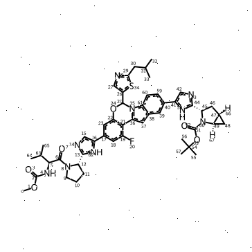 COC(=O)N[C@H](C(=O)N1CCC[C@H]1c1ncc(-c2cc(F)c3c(c2)OC(c2cnc(CC(C)C)s2)n2c-3cc3cc(-c4cnc([C@@H]5C[C@@H]6C[C@H]6N5C(=O)OC(C)(C)C)[nH]4)ccc32)[nH]1)C(C)C